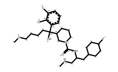 CNCC(CC1CCC(F)CC1)NC(=O)N1CCCC(C(O)(CCCCOC)c2cccc(F)c2Cl)C1